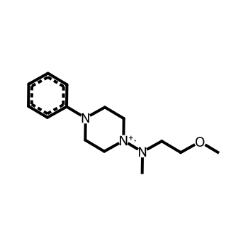 COCCN(C)[N+]1CCN(c2ccccc2)CC1